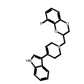 Fc1cccc2c1OC(CN1CC=C(c3c[nH]c4ccccc34)CC1)CO2